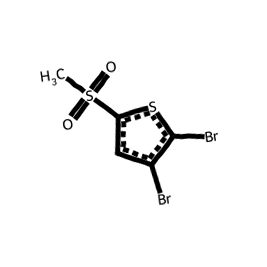 CS(=O)(=O)c1cc(Br)c(Br)s1